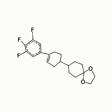 Fc1cc(C2=CCC(C3CCC4(CC3)OCCO4)CC2)cc(F)c1F